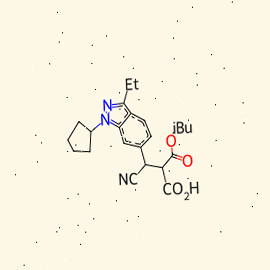 CCc1nn(C2CCCC2)c2cc(C(C#N)C(C(=O)O)C(=O)OC(C)CC)ccc12